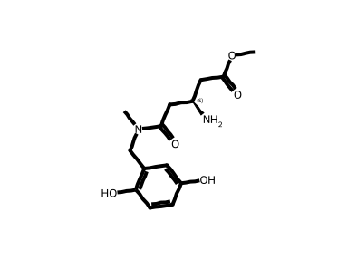 COC(=O)C[C@@H](N)CC(=O)N(C)Cc1cc(O)ccc1O